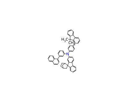 CC1(C)c2ccccc2-c2cccc(-c3ccc(N(c4cccc(-c5cccc6ccccc56)c4)c4ccc5c(c4)C4(CC6CCC4C6)c4ccccc4-5)cc3)c21